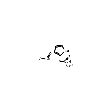 C1=[CH][GaH][CH]=C1.[Ca+2].[O]=[GeH][O-].[O]=[GeH][O-]